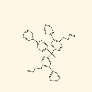 C=CCCc1ccc(C(C)(c2ccc(-c3ccccc3)cc2)c2ccc(CCC=C)c(-c3ccccc3)c2)cc1-c1ccccc1